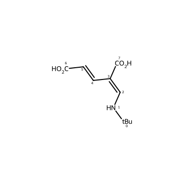 CC(C)(C)NC=C(C=CC(=O)O)C(=O)O